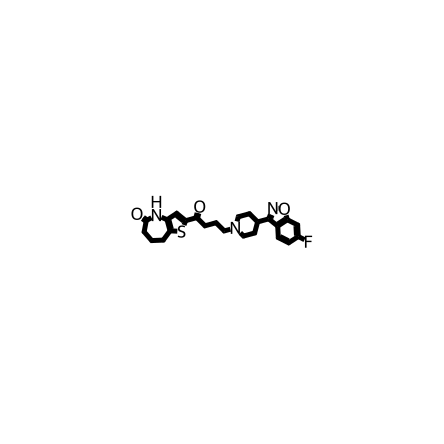 O=C1CCCc2sc(C(=O)CCCN3CCC(c4noc5cc(F)ccc45)CC3)cc2N1